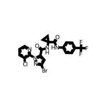 O=C(NC1(C(=O)Nc2ccc(C(F)(F)F)cc2)CC1)c1cc(Br)nn1-c1ncccc1Cl